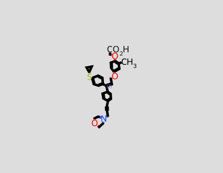 Cc1cc(OC/C=C(/c2ccc(C#CCN3CCOCC3)cc2)c2ccc(SC3CC3)cc2)ccc1OCC(=O)O